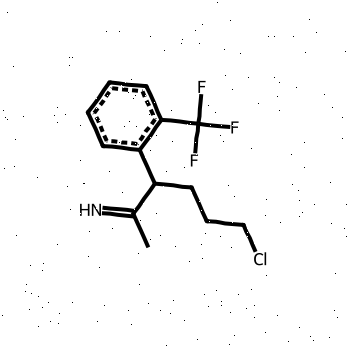 CC(=N)C(CCCCl)c1ccccc1C(F)(F)F